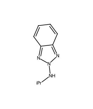 CC(C)Nn1nc2ccccc2n1